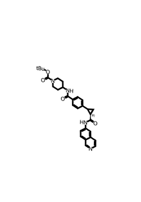 CC(C)(C)OC(=O)N1CCC(NC(=O)c2ccc(C3C[C@H]3C(=O)Nc3ccc4cnccc4c3)cc2)CC1